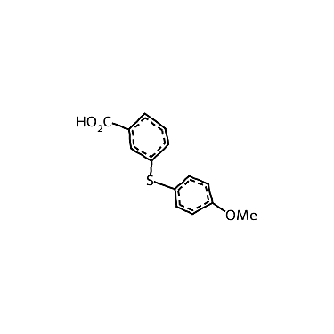 COc1ccc(Sc2cccc(C(=O)O)c2)cc1